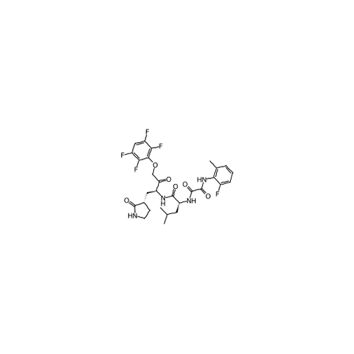 Cc1cccc(F)c1NC(=O)C(=O)N[C@@H](CC(C)C)C(=O)N[C@@H](C[C@@H]1CCNC1=O)C(=O)COc1c(F)c(F)cc(F)c1F